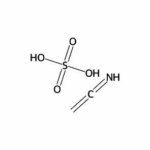 C=C=N.O=S(=O)(O)O